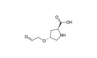 O=CCO[C@H]1CN[C@H](C(=O)O)C1